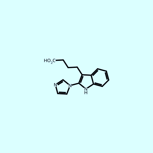 O=C(O)CCCc1c(-n2ccnc2)[nH]c2ccccc12